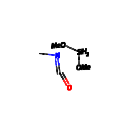 CN=C=O.CO[SiH2]OC